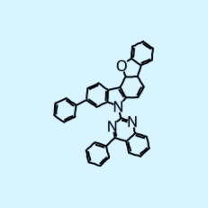 C1=CC2c3ccccc3OC2c2c1n(-c1nc(-c3ccccc3)c3ccccc3n1)c1cc(-c3ccccc3)ccc21